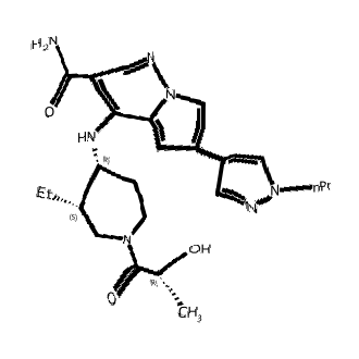 CCCn1cc(-c2cc3c(N[C@@H]4CCN(C(=O)[C@@H](C)O)C[C@@H]4CC)c(C(N)=O)cnn3c2)cn1